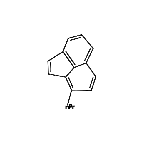 CCCc1ccc2cccc3c2c1C=C3